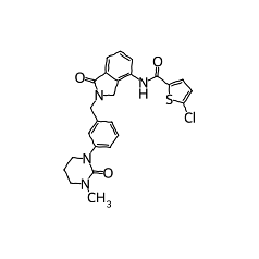 CN1CCCN(c2cccc(CN3Cc4c(NC(=O)c5ccc(Cl)s5)cccc4C3=O)c2)C1=O